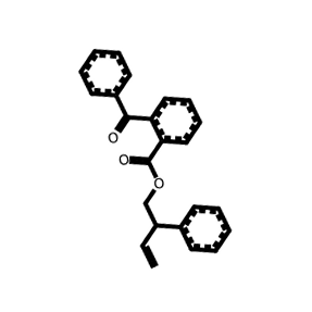 C=CC(COC(=O)c1ccccc1C(=O)c1ccccc1)c1ccccc1